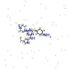 CCc1cnc(Nc2nc(Sc3ccc(N)cc3)nc(N3CCN(C)CC3)n2)s1